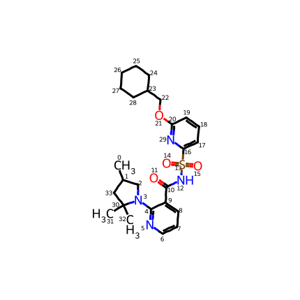 CC1CN(c2ncccc2C(=O)NS(=O)(=O)c2cccc(OCC3CCCCC3)n2)C(C)(C)C1